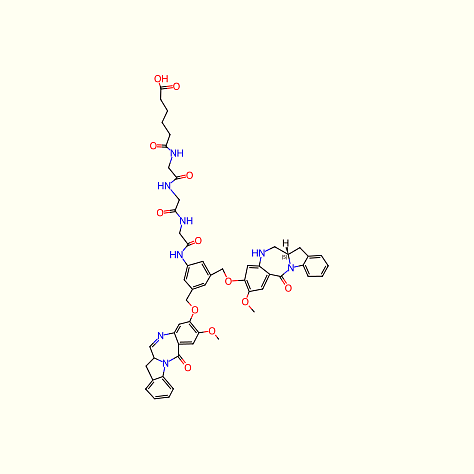 COc1cc2c(cc1OCc1cc(COc3cc4c(cc3OC)C(=O)N3c5ccccc5C[C@H]3CN4)cc(NC(=O)CNC(=O)CNC(=O)CNC(=O)CCCCC(=O)O)c1)N=CC1Cc3ccccc3N1C2=O